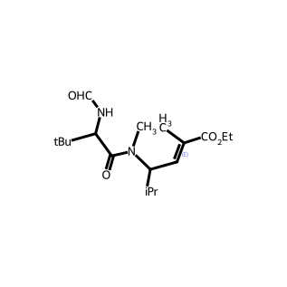 CCOC(=O)/C(C)=C/C(C(C)C)N(C)C(=O)C(NC=O)C(C)(C)C